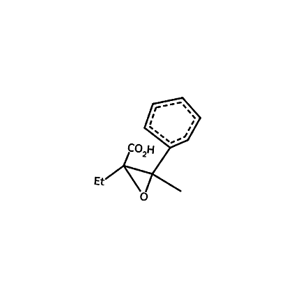 CCC1(C(=O)O)OC1(C)c1ccccc1